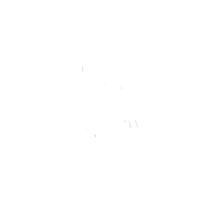 CCOC(=O)OC1=C(C)NC(C)=C([N+](=O)[O-])C1c1ccccc1OC(F)F